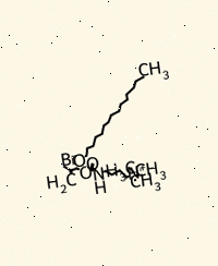 C=C(CBr)C(OCCCCCCCCCCCCCCCC)OC(=O)NCCCC[N+](C)(C)C